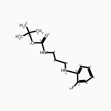 CC(C)(C)OC(=O)NCCCNc1ccccc1F